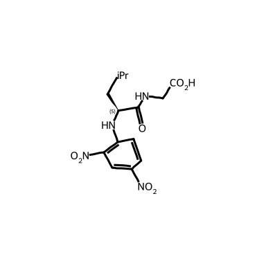 CC(C)C[C@H](Nc1ccc([N+](=O)[O-])cc1[N+](=O)[O-])C(=O)NCC(=O)O